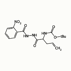 C=CCC(NC(=O)OC(C)(C)C)C(=O)NNC(=O)c1ccccc1[N+](=O)[O-]